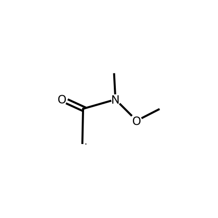 [CH2]C(=O)N(C)OC